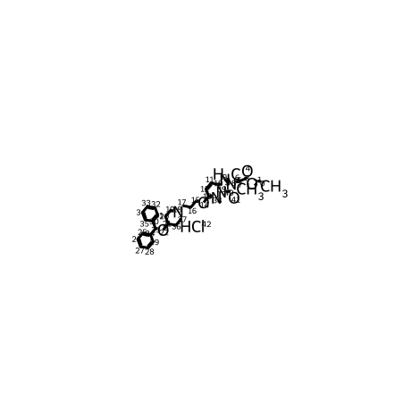 CCOC(=O)C(C)(C)n1nc2ccc(OCCCN3CCC(OC(c4ccccc4)c4ccccc4)CC3)nn2c1=O.Cl